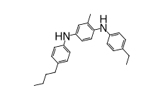 CCCCc1ccc(Nc2ccc(Nc3ccc(CC)cc3)c(C)c2)cc1